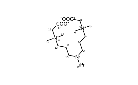 CC(C)N(CCC[N+](C)(C)CC(=O)[O-])CCC[N+](C)(C)CC(=O)[O-]